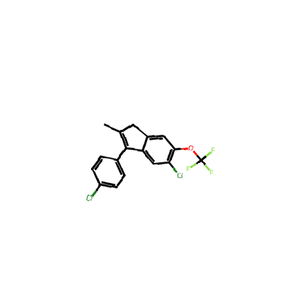 CC1=C(c2ccc(Cl)cc2)c2cc(Cl)c(OC(F)(F)F)cc2C1